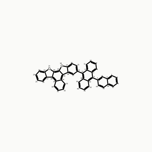 c1ccc2cc(-c3c4ccccc4c(-c4ccc5oc6c7oc8ccccc8c7c7ccccc7c6c5c4)c4ccccc34)ccc2c1